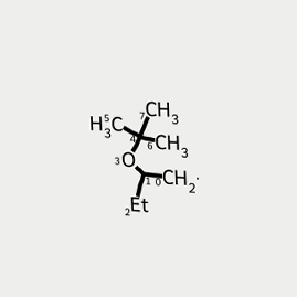 [CH2]C(CC)OC(C)(C)C